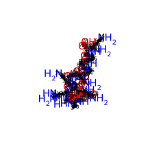 CC(C)[C@H](NC(=O)[C@H](C)NC(=O)[C@H](CCCNC(=N)N)NC(=O)[C@@H]1CCCN1C(=O)[C@H](CCCCN)NC(=O)[C@H](C)NC(=O)[C@H](CCC(N)=O)NC(=O)[C@@H]1CCCN1C(=O)[C@@H](NC(=O)[C@@H]1CCCN1C(=O)[C@H](CCC(=O)O)NC(=O)[C@@H](N)CCCCN)C(C)C)C(=O)N[C@@H](C)C(=O)N[C@@H](C)C(=O)N[C@@H](CCC(N)=O)C(=O)O